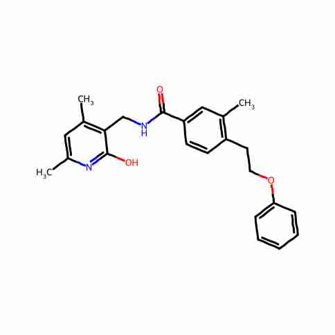 Cc1cc(C)c(CNC(=O)c2ccc(CCOc3ccccc3)c(C)c2)c(O)n1